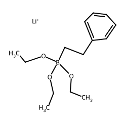 CCO[B-](CCc1ccccc1)(OCC)OCC.[Li+]